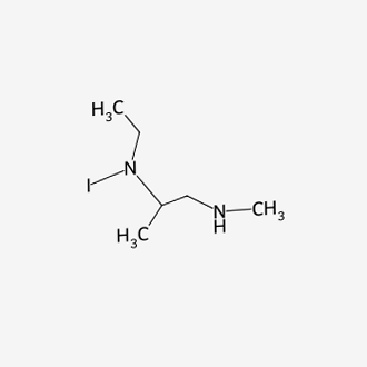 CCN(I)C(C)CNC